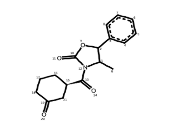 CC1C(c2ccccc2)OC(=O)N1C(=O)[C@@H]1CCCC(=O)C1